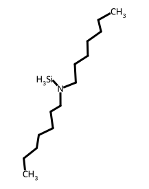 CCCCCCCN([SiH3])CCCCCCC